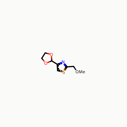 COCc1nc(C2OCCO2)cs1